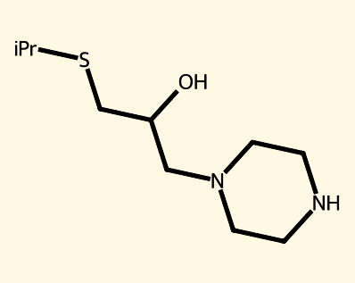 CC(C)SCC(O)CN1CCNCC1